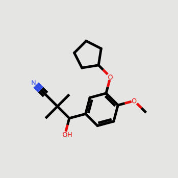 COc1ccc(C(O)C(C)(C)C#N)cc1OC1CCCC1